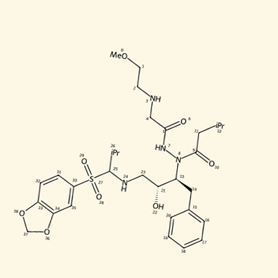 COCCNCC(=O)NN(C(=O)CC(C)C)[C@@H](Cc1ccccc1)[C@H](O)CNC(C(C)C)S(=O)(=O)c1ccc2c(c1)OCO2